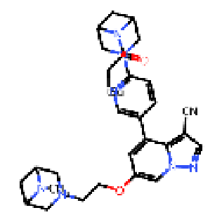 CN1C2CC1CN(CCOc1cc(-c3ccc(N4CC5CC(C4)N5C(=O)CC(C)(C)C)nc3)c3c(C#N)cnn3c1)C2